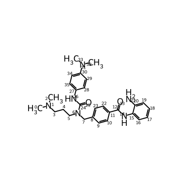 CN(C)CCCN(Cc1ccc(C(=O)Nc2ccccc2N)cc1)C(=O)Nc1ccc(N(C)C)cc1